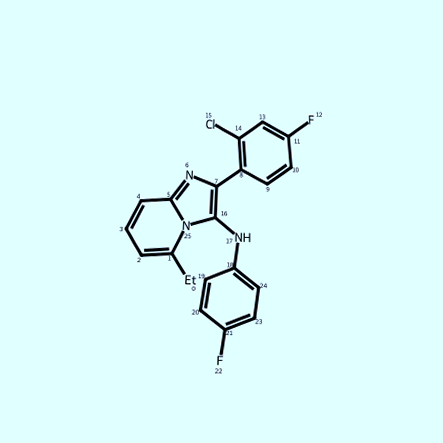 CCc1cccc2nc(-c3ccc(F)cc3Cl)c(Nc3ccc(F)cc3)n12